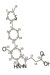 Cc1ccc(-c2ccc(-c3cc4c(CCC(=O)O)n[nH]c4cc3Cl)cc2)s1